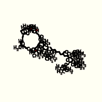 C=C1C[C@@H]2CC[C@]34CC[C@H](O3)[C@@H]3O[C@H]5CC[C@H](CC(=O)O[C@@H]6[C@@H](C)[C@@H]7O[C@H](CC(O)/C=C/CCC(C=O)C[C@H](C)[C@@H]8O[C@H](CO[Si](C)(C)C(C)(C)C)[C@H](O[Si](C)(C)C(C)(C)C)C[C@@H]8O[Si](C)(C)C(C)(C)C)C(O[Si](C)(C)C(C)(C)C)C[C@@H]7O[C@H]6C[C@H]6O[C@@H](CC[C@@H]1O2)C[C@@H](C)C6=C)O[C@@H]5[C@H](O4)[C@@H]3OC